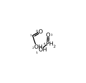 O=CO.O=[PH2]O